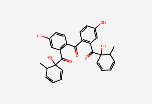 CC1C=CC=CC1(O)C(=O)c1cc(O)ccc1C(=O)c1ccc(O)cc1C(=O)C1(O)C=CC=CC1C